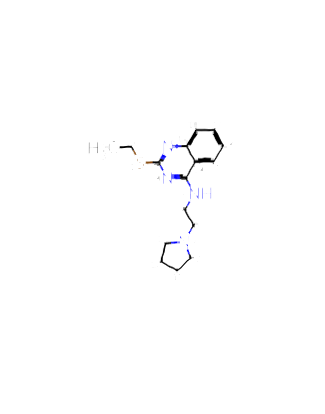 CCSc1nc(NCCN2CCCC2)c2ccccc2n1